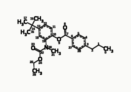 CCCc1ccc(C(=O)Oc2ccc(C(C)(C)C)cc2N(C)C(=O)OCC)cc1